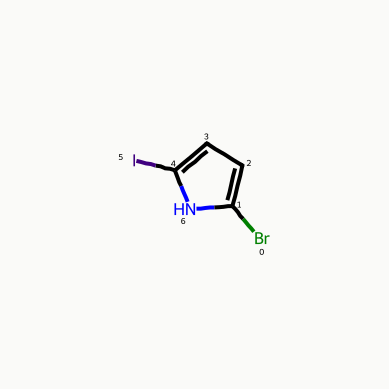 Brc1ccc(I)[nH]1